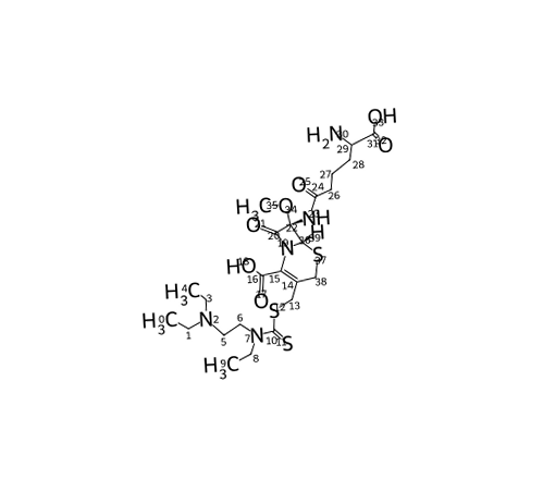 CCN(CC)CCN(CC)C(=S)SCC1=C(C(=O)O)N2C(=O)[C@](NC(=O)CCCC(N)C(=O)O)(OC)[C@@H]2SC1